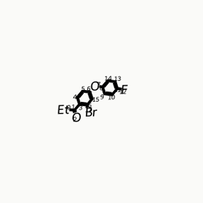 CCC(=O)c1ccc(Oc2ccc(F)cc2)cc1Br